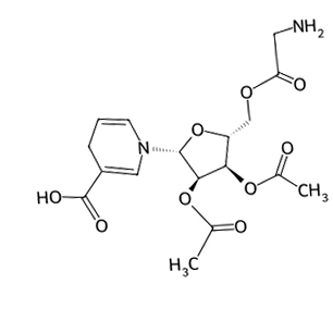 CC(=O)O[C@@H]1[C@H](OC(C)=O)[C@@H](COC(=O)CN)O[C@H]1N1C=CCC(C(=O)O)=C1